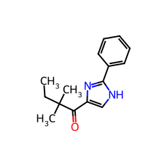 CCC(C)(C)C(=O)c1c[nH]c(-c2ccccc2)n1